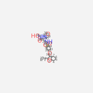 CC(C)c1oc2ccccc2c1COc1ccc(S(=O)(=O)NCC(C(=O)NO)N2CCOCC2)cc1